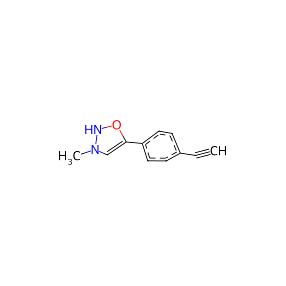 C#Cc1ccc(C2=CN(C)NO2)cc1